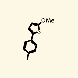 COc1ccc(-c2ccc(C)cc2)s1